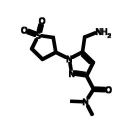 CN(C)C(=O)c1cc(CN)n(C2CCS(=O)(=O)C2)n1